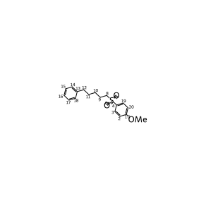 COc1ccc(S(=O)(=O)CCCCCc2ccccc2)cc1